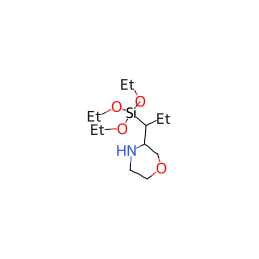 CCO[Si](OCC)(OCC)C(CC)C1COCCN1